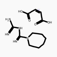 N=C(N)NC(=N)N1CCCCCC1.O=C(O)/C=C\C(=O)O